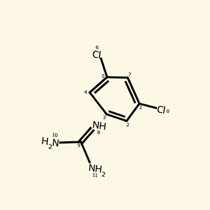 Clc1cccc(Cl)c1.N=C(N)N